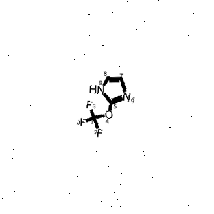 FC(F)(F)Oc1n[c]c[nH]1